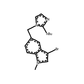 CCCCc1nccn1Cc1ccc2c(c1)c(Br)[c]n2C